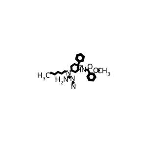 CCCCCCN(C(N)=NC#N)[C@H]1CC[C@](CNC(=O)c2ccccc2OC)(c2ccccc2)CC1